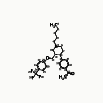 CCCCCN1CCC(c2ccc(C(N)=O)cc2)C(COc2ccc(C(F)(F)F)cc2)C1